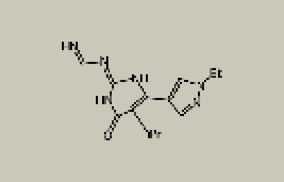 CCn1cc(-c2[nH]/c(=N/C=N)[nH]c(=O)c2C(C)C)cn1